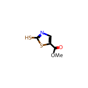 COC(=O)c1cnc(S)s1